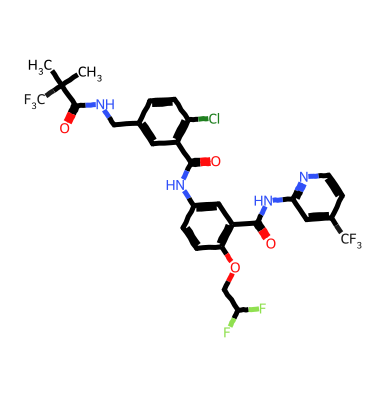 CC(C)(C(=O)NCc1ccc(Cl)c(C(=O)Nc2ccc(OCC(F)F)c(C(=O)Nc3cc(C(F)(F)F)ccn3)c2)c1)C(F)(F)F